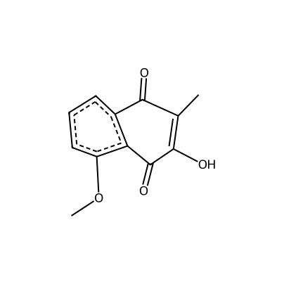 COc1cccc2c1C(=O)C(O)=C(C)C2=O